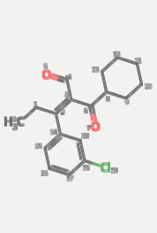 CCC(=C([C]=O)C(=O)C1CCCCC1)c1cccc(Cl)c1